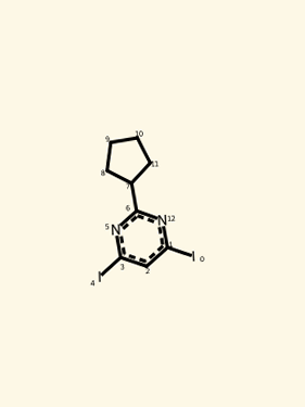 Ic1cc(I)nc(C2CCCC2)n1